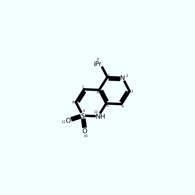 CC(C)c1nccc2c1C=CS(=O)(=O)N2